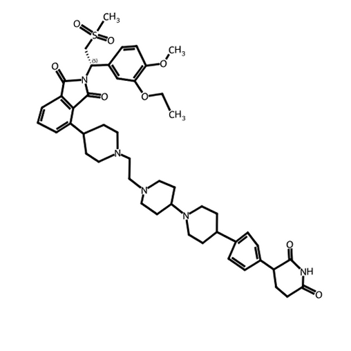 CCOc1cc([C@@H](CS(C)(=O)=O)N2C(=O)c3cccc(C4CCN(CCN5CCC(N6CCC(c7ccc(C8CCC(=O)NC8=O)cc7)CC6)CC5)CC4)c3C2=O)ccc1OC